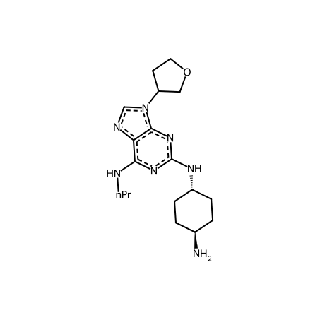 CCCNc1nc(N[C@H]2CC[C@H](N)CC2)nc2c1ncn2C1CCOC1